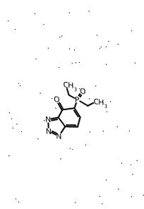 CCP(=O)(CC)C1=CC=C2N=NN=C2C1=O